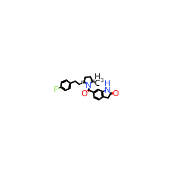 C[C@@H]1CC[C@H](CCc2ccc(F)cc2)N1C(=O)c1ccc2c(c1)NC(=O)C2